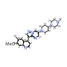 COc1cc2nccc(-c3cnn4cc(N5CCC(N6CCN(C)CC6)CC5)cnc34)c2cc1C